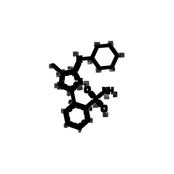 Cn1nc(-c2ccccc2S(N)(=O)=O)sc1=NC1CCCCC1